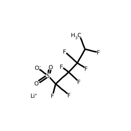 CC(F)C(F)(F)C(F)(F)C(F)(F)S(=O)(=O)[O-].[Li+]